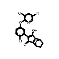 CCc1ccc(Oc2ncc(Cl)cc2Cl)cc1C1=C(O)C2C3CCC(O3)C2C1=O